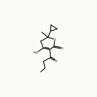 CCCC(=O)C1=C(O)CC(C)(C2CC2)OC1=O